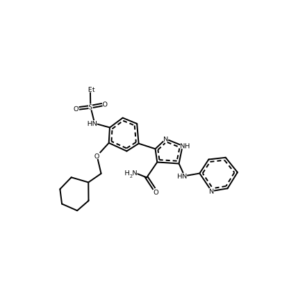 CCS(=O)(=O)Nc1ccc(-c2n[nH]c(Nc3ccccn3)c2C(N)=O)cc1OCC1CCCCC1